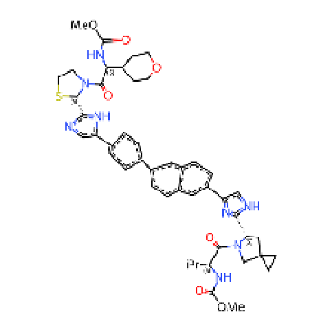 COC(=O)N[C@H](C(=O)N1CC2(CC2)C[C@H]1c1nc(-c2ccc3cc(-c4ccc(-c5cnc([C@@H]6SCCN6C(=O)[C@@H](NC(=O)OC)C6CCOCC6)[nH]5)cc4)ccc3c2)c[nH]1)C(C)C